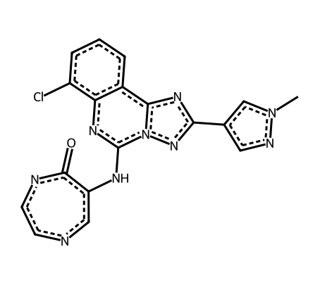 Cn1cc(-c2nc3c4cccc(Cl)c4nc(Nc4cnccnc4=O)n3n2)cn1